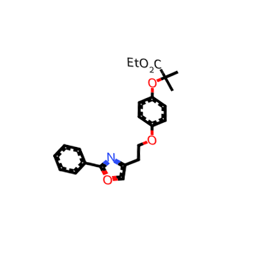 CCOC(=O)C(C)(C)Oc1ccc(OCCc2coc(-c3ccccc3)n2)cc1